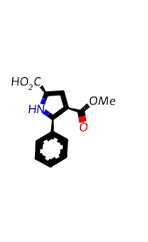 COC(=O)[C@@H]1C[C@H](C(=O)O)N[C@@H]1c1ccccc1